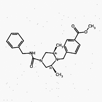 COC(=O)c1ccc(CN2[C@H](C)CN(C(=O)NCc3ccccc3)C[C@@H]2C)cc1